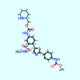 CC(C)OC(=O)Nc1ccc(-c2ncc(-c3ccc(NC(=O)OC[C@@H]4CCCCN4)cc3S(=O)(=O)NC(C)(C)C)s2)cc1